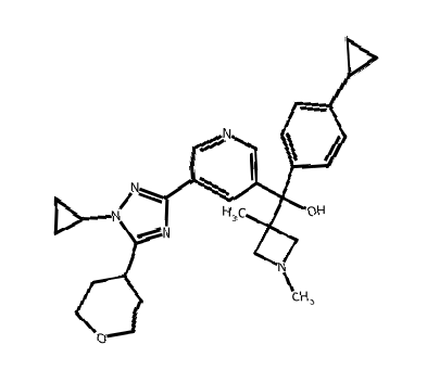 CN1CC(C)(C(O)(c2ccc(C3CC3)cc2)c2cncc(-c3nc(C4CCOCC4)n(C4CC4)n3)c2)C1